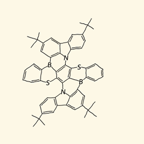 CC(C)(C)c1ccc2c(c1)c1cc(C(C)(C)C)cc3c1n2-c1c2c4c(c5c1B3c1ccccc1S5)-n1c3ccc(C(C)(C)C)cc3c3cc(C(C)(C)C)cc(c31)B4c1ccccc1S2